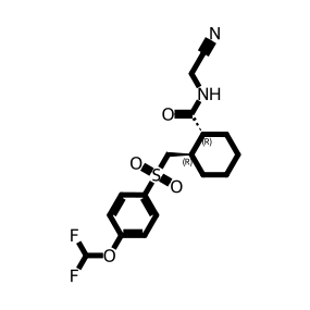 N#CCNC(=O)[C@@H]1CCCC[C@H]1CS(=O)(=O)c1ccc(OC(F)F)cc1